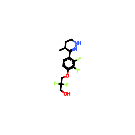 CC1CCNN=C1c1ccc(OCC(F)(F)CO)c(F)c1F